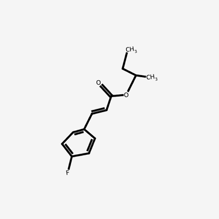 CCC(C)OC(=O)C=Cc1ccc(F)cc1